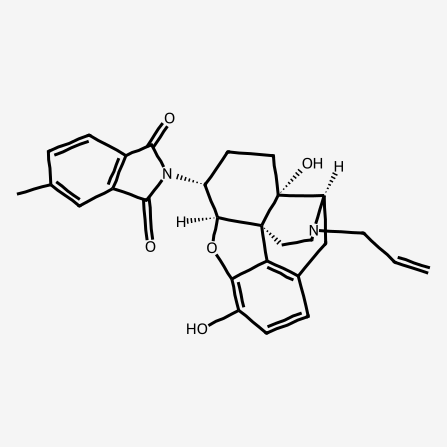 C=CCN1CC[C@]23c4c5ccc(O)c4O[C@H]2[C@H](N2C(=O)c4ccc(C)cc4C2=O)CC[C@@]3(O)[C@H]1C5